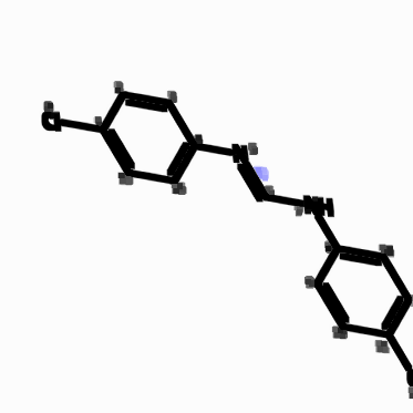 Clc1ccc(/N=C/Nc2ccc(Cl)cc2)cc1